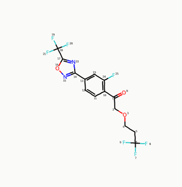 O=C(COCCC(F)(F)F)c1ccc(-c2noc(C(F)(F)F)n2)cc1F